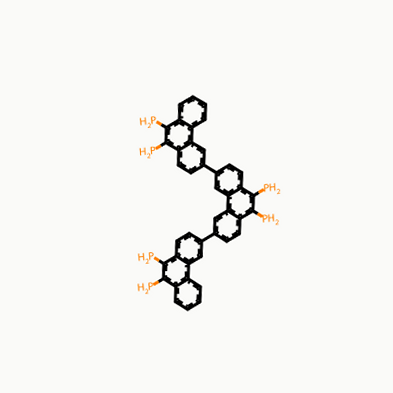 Pc1c(P)c2ccc(-c3ccc4c(P)c(P)c5ccc(-c6ccc7c(P)c(P)c8ccccc8c7c6)cc5c4c3)cc2c2ccccc12